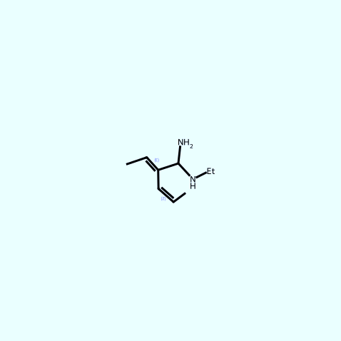 C/C=C\C(=C/C)C(N)NCC